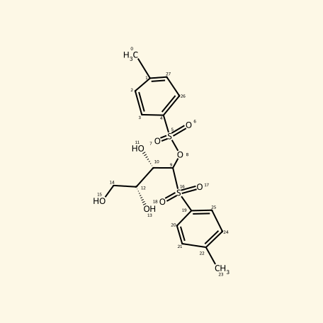 Cc1ccc(S(=O)(=O)OC([C@@H](O)[C@H](O)CO)S(=O)(=O)c2ccc(C)cc2)cc1